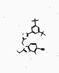 CCc1nc2c(Cl)c(C#N)ccc2n1Cc1noc(-c2cc(C(F)(F)F)cc(C(F)(F)F)c2)n1